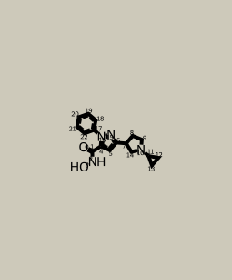 O=C(NO)c1cc(C2CCN(C3CC3)C2)nn1-c1ccccc1